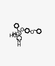 O[C@H]1CNCC[C@]1(O)CC(Cc1ccccc1)Oc1ccc(OCc2ccccc2)cc1